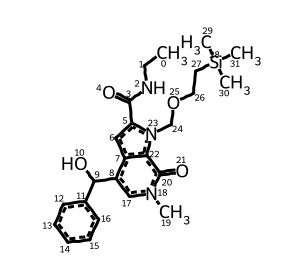 CCNC(=O)c1cc2c(C(O)c3ccccc3)cn(C)c(=O)c2n1COCC[Si](C)(C)C